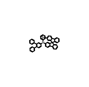 CC(C)(C)c1ccc2c(c1)C1(c3ccccc3-c3ccc(N(c4ccccc4)c4ccc(-c5ccccc5)c(-c5ccccc5)c4)cc31)c1ccccc1-2